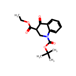 CCOC(=O)C1CN(C(=O)OC(C)(C)C)c2ccccc2C1=O